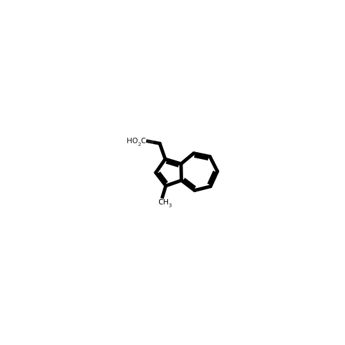 Cc1cc(CC(=O)O)c2cccccc1-2